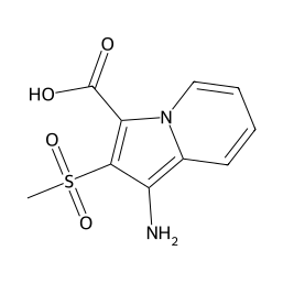 CS(=O)(=O)c1c(N)c2ccccn2c1C(=O)O